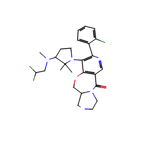 CN(CC(F)F)C1CCN(c2c(-c3ccccc3F)ncc3c2OCC2CNCCN2C3=O)C1(C)C